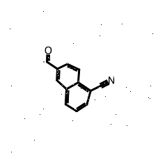 N#Cc1cccc2cc([C]=O)ccc12